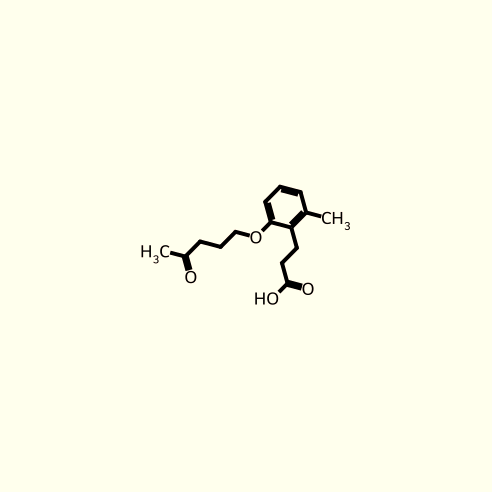 CC(=O)CCCOc1cccc(C)c1CCC(=O)O